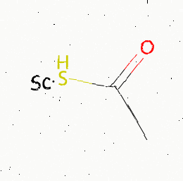 CC(=O)S.[Sc]